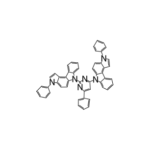 c1ccc(-c2cc(-n3c4ccccc4c4c5ccn(-c6ccccc6)c5ccc43)nc(-n3c4ccccc4c4c5ccn(-c6ccccc6)c5ccc43)n2)cc1